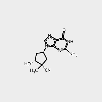 [CH2][C@]1(C#N)C[C@H](n2cnc3c(=O)[nH]c(N)nc32)C[C@H]1O